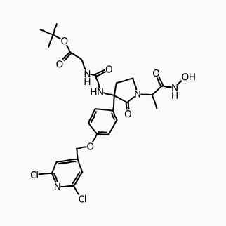 CC(C(=O)NO)N1CCC(NC(=O)NCC(=O)OC(C)(C)C)(c2ccc(OCc3cc(Cl)nc(Cl)c3)cc2)C1=O